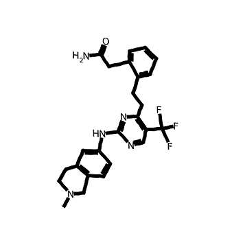 CN1CCc2cc(Nc3ncc(C(F)(F)F)c(CCc4ccccc4CC(N)=O)n3)ccc2C1